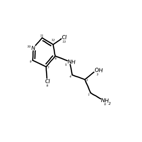 NCC(O)CNc1c(Cl)cncc1Cl